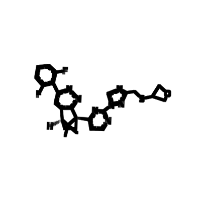 CC1(C)[C@H]2CC[C@@]1(c1ccnc(-n3cnc(CSC4COC4)n3)n1)c1nnc(-c3c(F)cccc3F)cc12